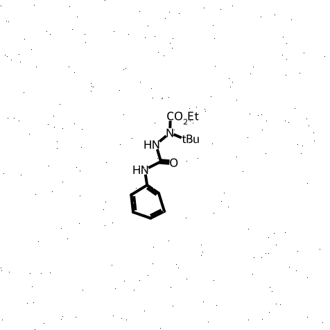 CCOC(=O)N(NC(=O)Nc1ccccc1)C(C)(C)C